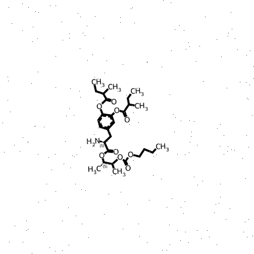 CCCCOC(=O)OC(C)[C@H](C)OC(=O)[C@@H](N)Cc1ccc(OC(=O)C(C)CC)c(OC(=O)C(C)CC)c1